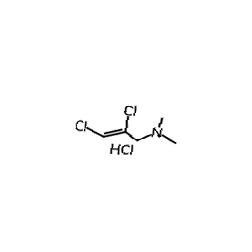 CN(C)CC(Cl)=CCl.Cl